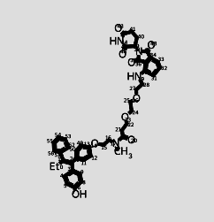 CCC(=C(c1ccc(O)cc1)c1ccc(OCCN(C)C(=O)CCOCCOCCNc2cccc3c2C(=O)N(C2CCC(=O)NC2=O)C3=O)cc1)c1ccccc1